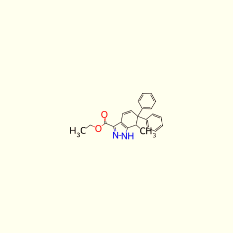 CCOC(=O)c1n[nH]c2c1C=CC(c1ccccc1)(c1ccccc1)C2C